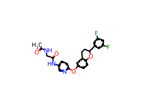 CC(=O)NCC(=O)Nc1ccc(Oc2ccc3c(c2)CCC(c2cc(F)cc(F)c2)O3)nc1